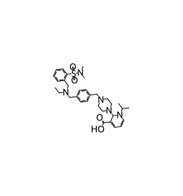 CCN(Cc1ccc(CN2CCN(C3C(C(=O)O)=CC=CN3C(C)C)CC2)cc1)Cc1ccccc1S(=O)(=O)N(C)C